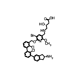 COc1nc(OCc2cccc(-c3cccc(-c4ccc5c(c4)C[C@@H](N)C5)c3Cl)c2Cl)c(Br)cc1CNC[C@H](O)CC(=O)O